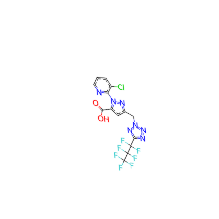 O=C(O)c1cc(Cn2nnc(C(F)(F)C(F)(F)C(F)(F)F)n2)nn1-c1ncccc1Cl